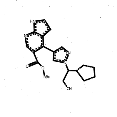 CCCCOC(=O)c1cnc2[nH]ccc2c1-c1cnn(C(CC#N)C2CCCC2)c1